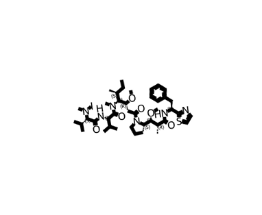 CC[C@H](C)[C@@H]([C@@H](CC(=O)N1CCC[C@H]1[C@H](OC)[C@@H](C)C(=O)N[C@@H](Cc1ccccc1)c1nccs1)OC)N(C)C(=O)[C@@H](NC(=O)[C@H](C(C)C)N(C)I)C(C)C